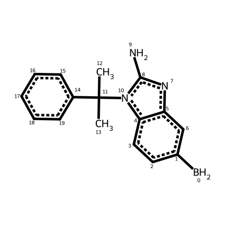 Bc1ccc2c(c1)nc(N)n2C(C)(C)c1ccccc1